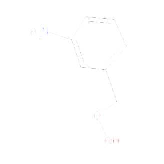 Nc1cccc(COO)c1